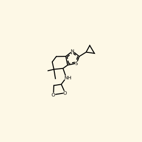 CC1(C)CCc2nc(C3CC3)sc2C1NC1COO1